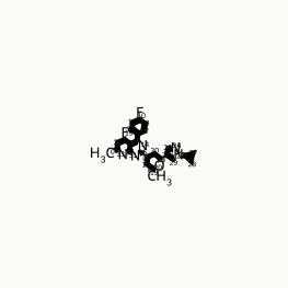 Cc1ccc2c(-c3ccc(F)cc3F)nc([C@H]3C[C@H](C)O[C@@H](c4cnn(C5CC5)c4)C3)nc2n1